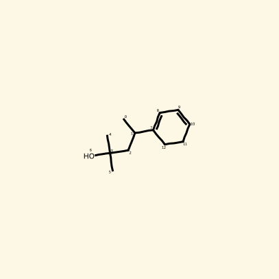 CC(CC(C)(C)O)C1=CC=CCC1